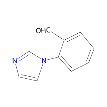 O=Cc1ccccc1-n1ccnc1